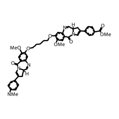 CNc1ccc(C2=CN3C(=O)c4cc(OC)c(OCCCCCOc5cc6c(cc5OC)C(=O)N5C=C(c7ccc(C(=O)OC)cc7)C[C@H]5C=N6)cc4N=C[C@@H]3C2)cc1